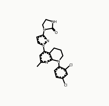 Cc1cc(-n2ccc(N3CCNC3=O)n2)c2c(n1)N(c1ccc(Cl)cc1Cl)CCC2